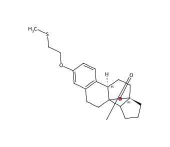 CSCCOc1ccc2c(c1)CCC13OC(=O)[C@]4(CCCC14)CC[C@H]23